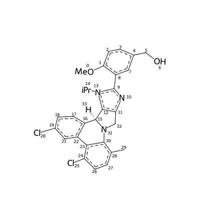 COc1ccc(CO)cc1-c1nc2c(n1C(C)C)[C@@H]1c3ccc(Cl)cc3-c3c(Cl)ccc(C)c3N1C2